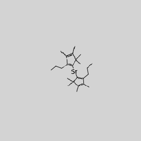 CCCC1=[C]([Sr][C]2=C(CCC)C(C)=C(C)C2(C)C)C(C)(C)C(C)=C1C